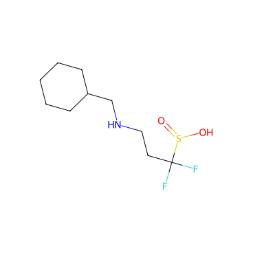 O=S(O)C(F)(F)CCNCC1CCCCC1